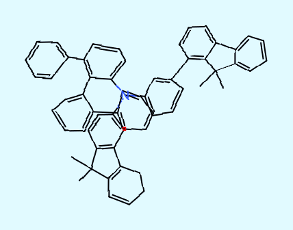 CC1(C)C2=C(CCC=C2)c2cc(N(c3cccc(-c4cccc5c4C(C)(C)c4ccccc4-5)c3)c3cccc(-c4ccccc4)c3-c3ccccc3-c3ccccc3)ccc21